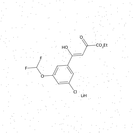 CCOC(=O)C(=O)C=C(O)c1cc(Cl)cc(OC(F)F)c1.[LiH]